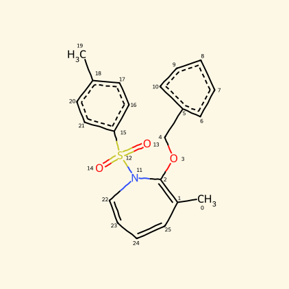 CC1=C(OCc2ccccc2)N(S(=O)(=O)c2ccc(C)cc2)C=CC=C1